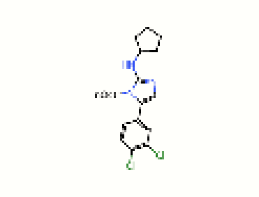 CCCCCCCCn1c(-c2ccc(Cl)c(Cl)c2)cnc1NC1CCCC1